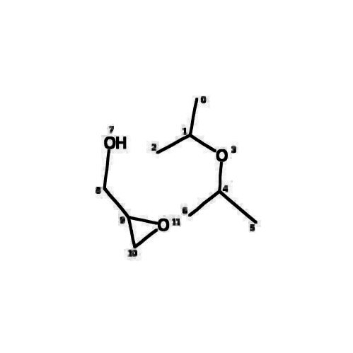 CC(C)OC(C)C.OCC1CO1